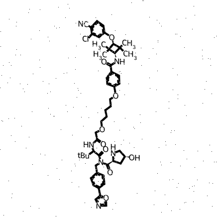 CC(C)(C)C(NC(=O)COCCCCCOc1ccc(C(=O)N[C@H]2C(C)(C)[C@H](Oc3ccc(C#N)c(Cl)c3)C2(C)C)cc1)C(=O)N(Cc1ccc(-c2cnco2)cc1)C(=O)[C@@H]1C[C@@H](O)CN1